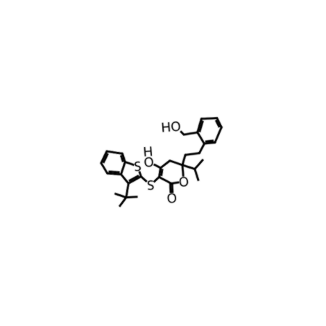 CC(C)C1(CCc2ccccc2CO)CC(O)=C(Sc2sc3ccccc3c2C(C)(C)C)C(=O)O1